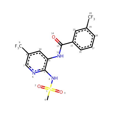 CS(=O)(=O)Nc1ncc(C(F)(F)F)cc1NC(=O)c1cccc(C(F)(F)F)c1